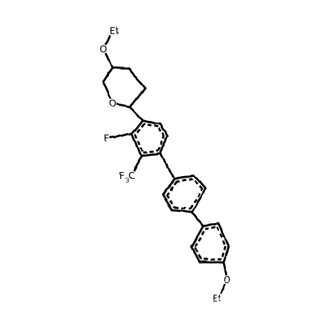 CCOc1ccc(-c2ccc(-c3ccc(C4CCC(OCC)CO4)c(F)c3C(F)(F)F)cc2)cc1